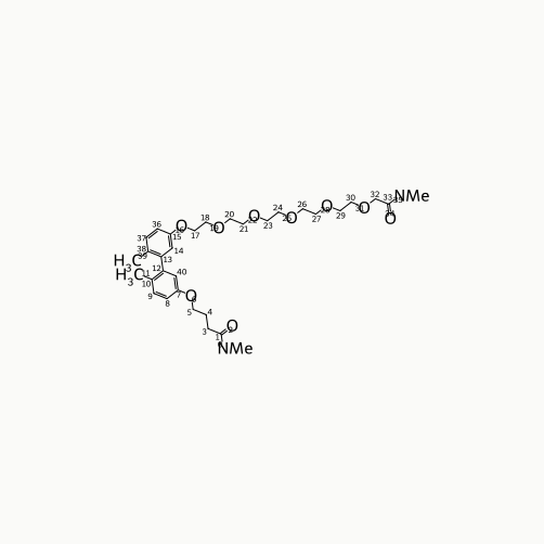 CNC(=O)CCCOc1ccc(C)c(-c2cc(OCCOCCOCCOCCOCCOCC(=O)NC)ccc2C)c1